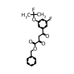 CC(C)(F)Oc1cc(F)cc(C(=O)CC(=O)C(=O)OCc2ccccc2)c1